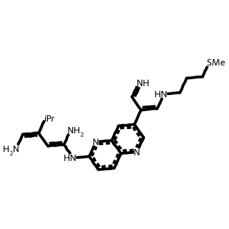 CSCCCN/C=C(\C=N)c1cnc2ccc(N/C(N)=C/C(=C\N)C(C)C)nc2c1